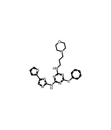 c1ccc(Sc2nc(NCCCN3CCOCC3)nc(Nc3ncc(-c4cccs4)s3)n2)cc1